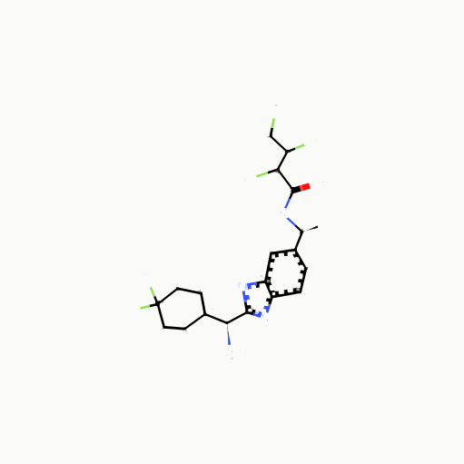 C[C@H](NC(=O)C(F)C(F)CF)c1ccc2nc([C@@H](N)C3CCC(F)(F)CC3)[nH]c2c1